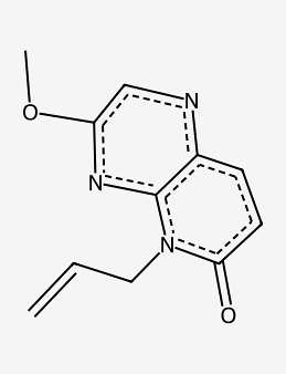 C=CCn1c(=O)ccc2ncc(OC)nc21